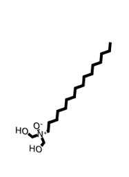 CCCCCCCCCCCCCCCC[N+]([O-])(CO)CO